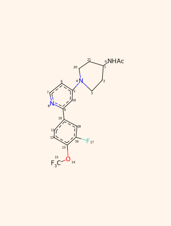 CC(=O)NC1CCN(c2ccnc(-c3ccc(OC(F)(F)F)c(F)c3)c2)CC1